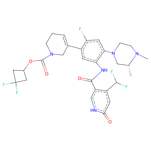 C[C@@H]1CN(c2cc(F)c(C3=CCCN(C(=O)OC4CC(F)(F)C4)C3)cc2NC(=O)c2c[nH]c(=O)cc2C(F)F)CCN1C